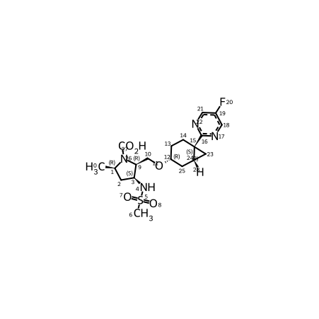 C[C@@H]1C[C@H](NS(C)(=O)=O)[C@H](CO[C@@H]2CC[C@]3(c4ncc(F)cn4)C[C@@H]3C2)N1C(=O)O